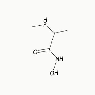 CPC(C)C(=O)NO